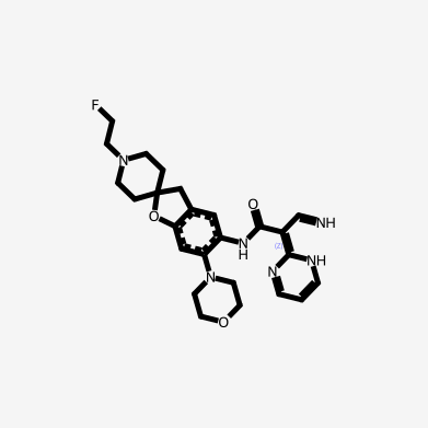 N=C/C(C(=O)Nc1cc2c(cc1N1CCOCC1)OC1(CCN(CCF)CC1)C2)=C1/N=CC=CN1